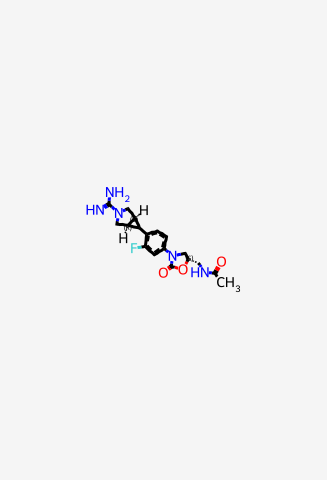 CC(=O)NC[C@H]1CN(c2ccc(C3[C@H]4CN(C(=N)N)C[C@@H]34)c(F)c2)C(=O)O1